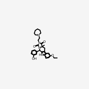 CCOc1ccc2[nH]c3c(c2c1)CC1(C)C(=O)N(CCN2CCCCCC2)C(=O)N1C3c1cccc(O)c1